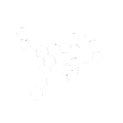 CC[C@@H]1CC1(NC(=O)[C@@H]1C[C@@H](Oc2cc(-c3csc(NC(C)C)n3)nc3c(Cl)c(OCCN4CCOCC4)ccc23)CN1C(=O)[C@@H](NC(=O)O[C@H]1CC[C@@H](C)C1)C(C)(C)C)C(=O)O